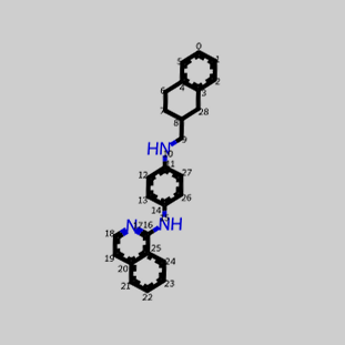 c1ccc2c(c1)CCC(CNc1ccc(Nc3nccc4ccccc34)cc1)C2